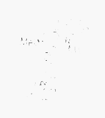 COC1=CC2=CC3=C(CCCC3)N(C)C2C=C1OCCCN1CCCC1